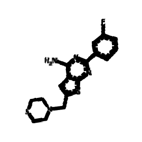 Nc1nc(-c2cccc(F)c2)nc2sc(CN3CCSCC3)cc12